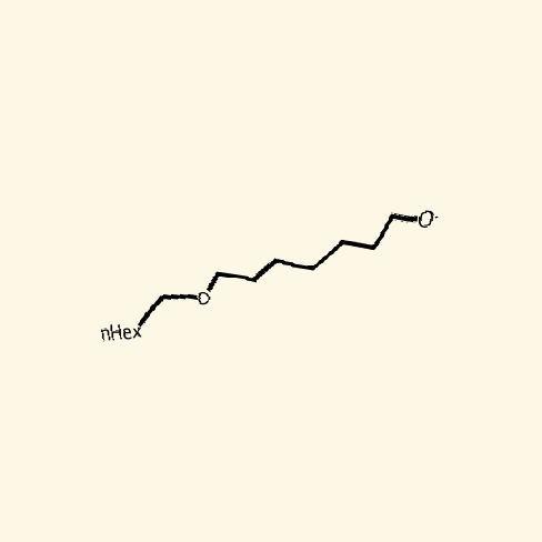 CCCCCCCOCCCCCCC[O]